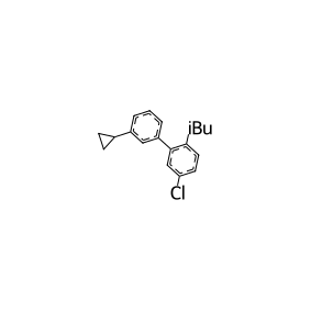 CCC(C)c1ccc(Cl)cc1-c1cccc(C2CC2)c1